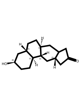 O=C1CC2C[C@@H]3CC[C@H]4C[C@H](O)CC[C@@H]4[C@H]3C[C@H]2C1